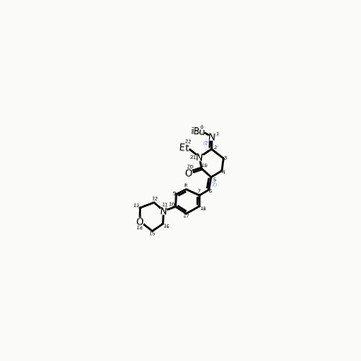 CCC(C)/N=C1/CC/C(=C/c2ccc(N3CCOCC3)cc2)C(=O)N1CC